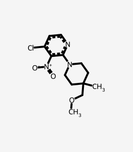 COCC1(C)CCN(c2nccc(Cl)c2[N+](=O)[O-])CC1